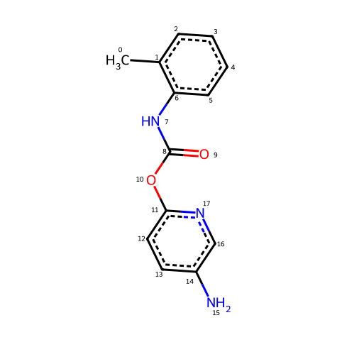 Cc1ccccc1NC(=O)Oc1ccc(N)cn1